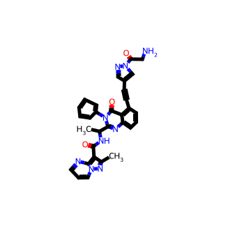 Cc1nn2cccnc2c1C(=O)NC(C)c1nc2cccc(C#Cc3cnn(C(=O)CN)c3)c2c(=O)n1-c1ccccc1